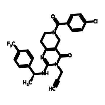 C#CCn1c(N[C@@H](C)c2ccc(C(F)(F)F)cc2)nc2c(c1=O)CN(C(=O)c1ccc(Cl)cc1)CC2